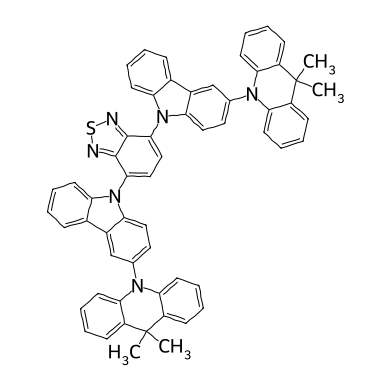 CC1(C)c2ccccc2N(c2ccc3c(c2)c2ccccc2n3-c2ccc(-n3c4ccccc4c4cc(N5c6ccccc6C(C)(C)c6ccccc65)ccc43)c3nsnc23)c2ccccc21